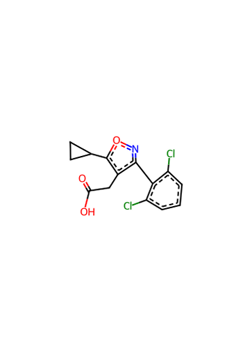 O=C(O)Cc1c(-c2c(Cl)cccc2Cl)noc1C1CC1